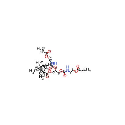 C=CC(=O)OCCNC(=O)OCC(COC(=O)C(C)(CC(C)(C)C)C(C)(C)CC)OC(=O)NCCOC(=O)C=C